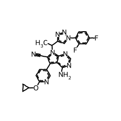 CC(c1cn(-c2ccc(F)cc2F)nn1)n1c(C#N)c(-c2ccc(OC3CC3)nc2)c2c(N)ncnc21